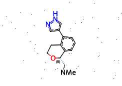 CNC[C@@H]1OCCc2c(-c3cn[nH]c3)cccc21